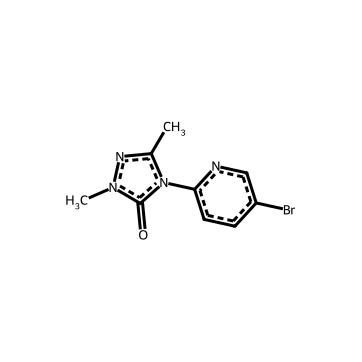 Cc1nn(C)c(=O)n1-c1ccc(Br)cn1